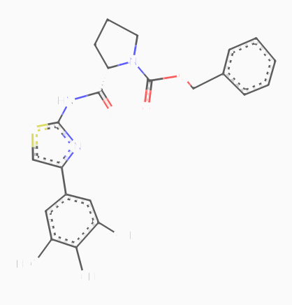 Cc1cc(-c2csc(NC(=O)[C@@H]3CCCN3C(=O)OCc3ccccc3)n2)cc(C)c1C